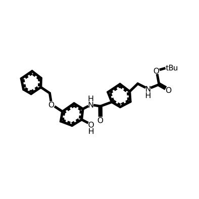 CC(C)(C)OC(=O)NCc1ccc(C(=O)Nc2cc(OCc3ccccc3)ccc2O)cc1